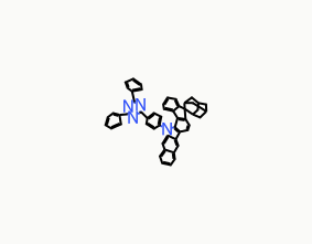 c1ccc(-c2nc(-c3ccccc3)nc(-c3ccc(-n4c5cc6ccccc6cc5c5ccc6c(c54)-c4ccccc4C64C5CC6CC(C5)CC4C6)cc3)n2)cc1